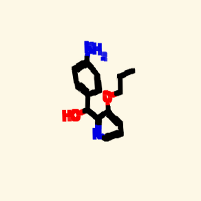 CCCOc1cccnc1C(O)c1ccc(N)cc1